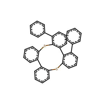 c1ccc(-c2cccc3c2Sc2ccccc2-c2ccccc2Sc2cccc(-c4ccccc4)c2-3)cc1